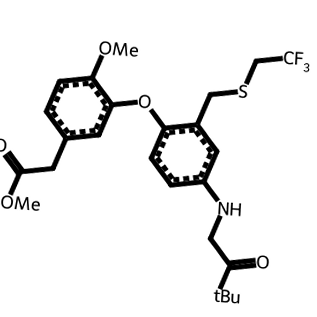 COC(=O)Cc1ccc(OC)c(Oc2ccc(NCC(=O)C(C)(C)C)cc2CSCC(F)(F)F)c1